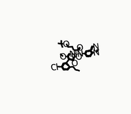 CCC(=O)c1ccc(Cl)cc1-c1cc(=O)n(C(CCOC(C)(C)C)C(=O)Nc2ccc3ncncc3c2)cc1OC